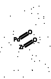 [O]=[Pd].[O]=[Zr]